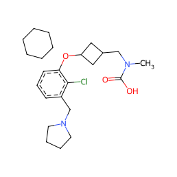 C1CCCCC1.CN(CC1CC(Oc2cccc(CN3CCCC3)c2Cl)C1)C(=O)O